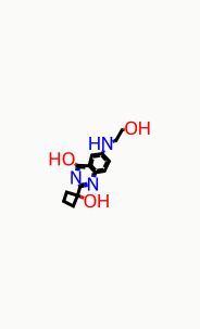 OCCNc1ccc2nc(C3(O)CCC3)nc(O)c2c1